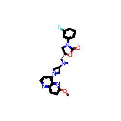 COc1ccc2nccc(N3CC(N(C)C[C@@H]4CN(c5cccc(F)c5)C(=O)O4)C3)c2n1